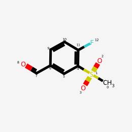 CS(=O)(=O)c1cc(C=O)ccc1F